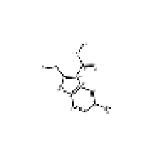 CCc1oc2ccc(Br)cc2c1C(=O)OC